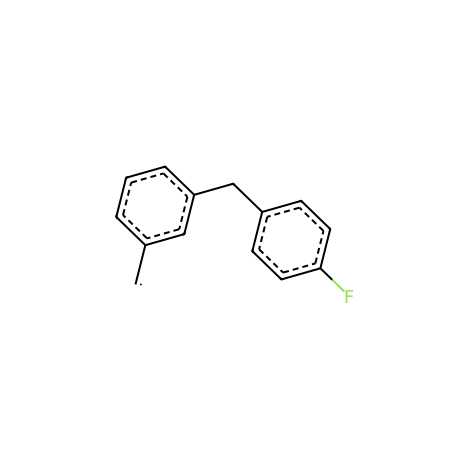 [CH2]c1cccc(Cc2ccc(F)cc2)c1